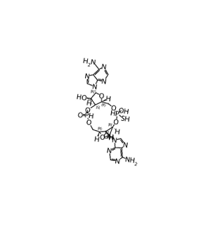 Nc1ncnc2c1ncn2[C@@H]1O[C@@H]2CO[PH](O)(S)O[C@@H]3[C@H](O)[C@@H](CO[PH](=O)O[C@H]2[C@H]1O)O[C@H]3n1cnc2c(N)ncnc21